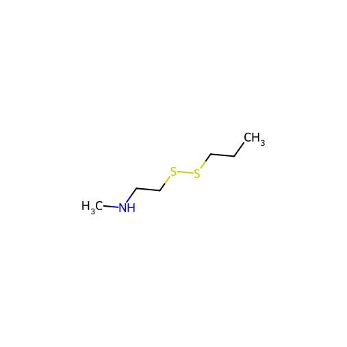 CCCSSCCNC